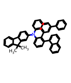 CC1(C)c2ccccc2-c2ccc(N(c3ccccc3)c3cccc(-c4cccc5ccccc45)c3-c3cccc(-c4ccccc4)c3)cc21